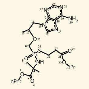 CCCOC(=O)C(C)(C)NP(=O)(COC(C)Cn1cnc2c(N)ncnc21)SCCC(=O)OC(C)C